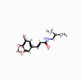 CC(C)CNC(=O)/C=C/c1cc(I)c2c(c1)OCO2